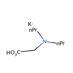 CCCN(CCC)CC(=O)O.[K]